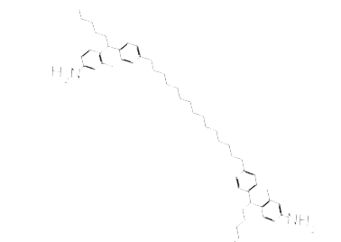 CCCCCC(c1ccc(CCCCCCCCCCCCCCCc2ccc(C(CCCCC)c3ccc(N)cc3C)cc2)cc1)c1ccc(N)cc1C